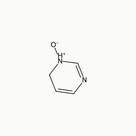 [O-][NH+]1C=NC=CC1